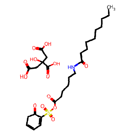 CCCCCCCCCC(=O)NCCCCCC(=O)OS(=O)(=O)C1=CC=CCC1=O.O=C(O)CC(O)(CC(=O)O)C(=O)O